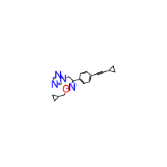 C(#CC1CC1)c1ccc(/C(Cn2cncn2)=N/OCC2CC2)cc1